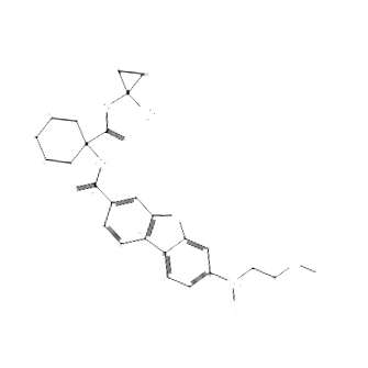 CCOCCN(C=O)c1ccc2c(c1)oc1cc(C(=O)NC3(C(=O)NC4(C#N)CC4)CCCCC3)ccc12